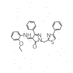 CCOc1ccccc1N/C=C1/C(=O)N(Cc2nc(-c3ccccc3)cs2)N=C1c1ccccc1